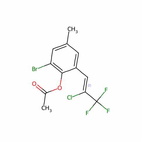 CC(=O)Oc1c(Br)cc(C)cc1/C=C(\Cl)C(F)(F)F